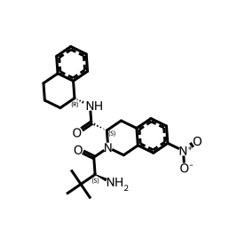 CC(C)(C)[C@H](N)C(=O)N1Cc2cc([N+](=O)[O-])ccc2C[C@H]1C(=O)N[C@@H]1CCCc2ccccc21